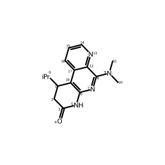 CC(C)C1CC(=O)Nc2nc(N(C)C)c3ncccc3c21